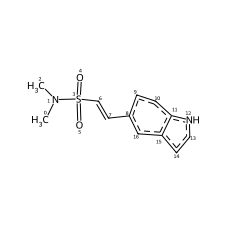 CN(C)S(=O)(=O)/C=C/c1ccc2[nH]ccc2c1